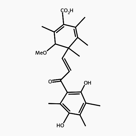 COC1C(C)=C(C(=O)O)C(C)=C(C)C1(C)C=CC(=O)c1c(C)c(O)c(C)c(C)c1O